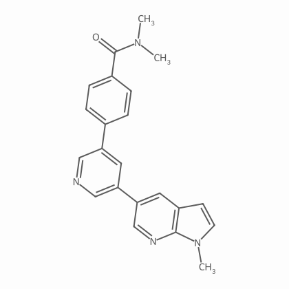 CN(C)C(=O)c1ccc(-c2cncc(-c3cnc4c(ccn4C)c3)c2)cc1